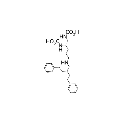 O=C(O)NC[C@H](CCCNCC(CCc1ccccc1)CCc1ccccc1)NC(=O)O